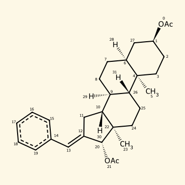 CC(=O)O[C@H]1CC[C@]2(C)[C@@H](CC[C@@H]3[C@H]4C/C(=C\c5ccccc5)[C@@H](OC(C)=O)[C@]4(C)CC[C@H]32)C1